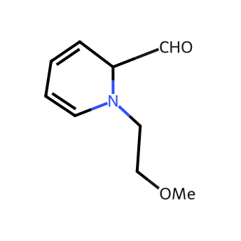 COCCN1C=CC=CC1C=O